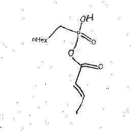 CC=CC(=O)OP(=O)(O)CCCCCCC